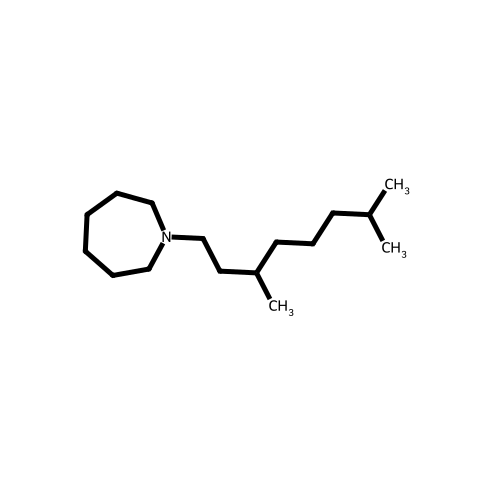 CC(C)CCCC(C)CCN1CCCCCC1